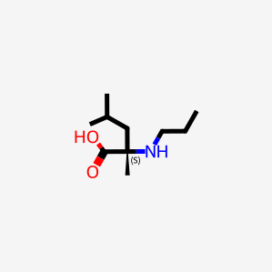 CCCN[C@@](C)(CC(C)C)C(=O)O